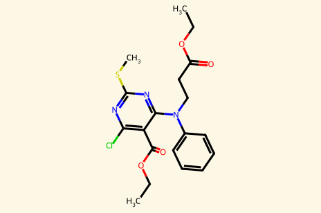 CCOC(=O)CCN(c1ccccc1)c1nc(SC)nc(Cl)c1C(=O)OCC